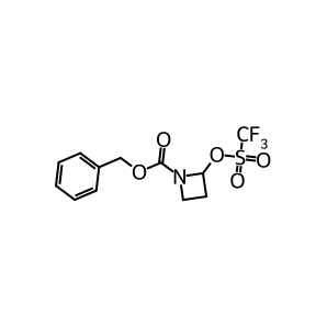 O=C(OCc1ccccc1)N1CCC1OS(=O)(=O)C(F)(F)F